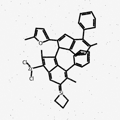 CC1=[C]([Zr]([Cl])[Cl])c2cc(=[Si]3CCC3)c(C)c(-c3ccccc3)c2=C1C1C(c2ccc(C)o2)=Cc2c1ccc(C)c2-c1ccccc1